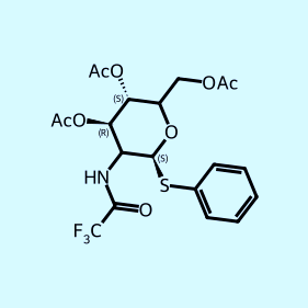 CC(=O)OCC1O[C@@H](Sc2ccccc2)C(NC(=O)C(F)(F)F)[C@@H](OC(C)=O)[C@@H]1OC(C)=O